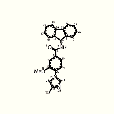 COc1cc(C(=O)NC2c3ccccc3-c3ccccc32)ccc1-n1cnc(C)c1